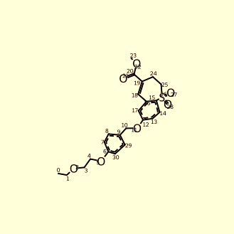 CCOCCOc1ccc(COc2ccc3c(c2)C=C(C(=O)OC)CCS3(=O)=O)cc1